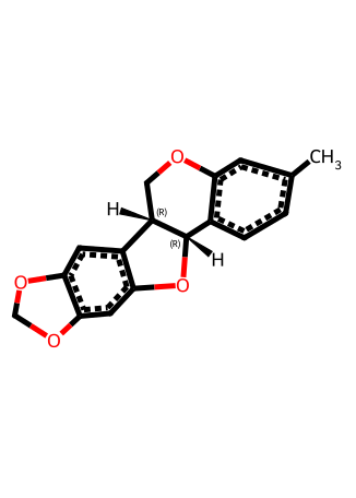 Cc1ccc2c(c1)OC[C@H]1c3cc4c(cc3O[C@@H]21)OCO4